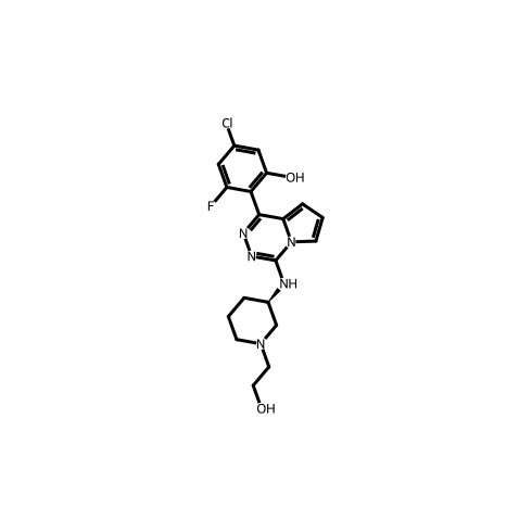 OCCN1CCC[C@@H](Nc2nnc(-c3c(O)cc(Cl)cc3F)c3cccn23)C1